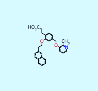 Cc1ncccc1OCc1ccc(CCC(=O)O)c(OCCc2ccc3ccccc3c2)c1